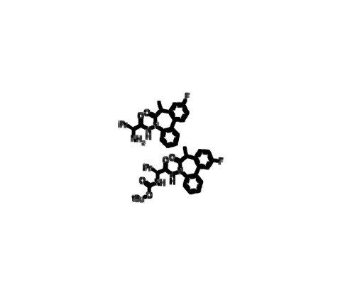 CC1C(=O)N(NC(=O)[C@@H](N)C(C)C)c2ccccc2-c2ccc(F)cc21.CC1C(=O)N(NC(=O)[C@@H](NC(=O)OC(C)(C)C)C(C)C)c2ccccc2-c2cc(F)ccc21